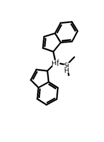 C[SiH](C)[Hf]([CH]1C=Cc2ccccc21)[CH]1C=Cc2ccccc21